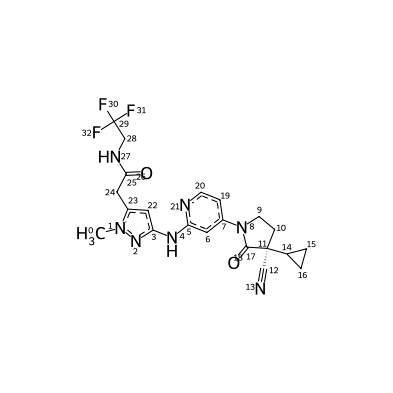 Cn1nc(Nc2cc(N3CC[C@@](C#N)(C4CC4)C3=O)ccn2)cc1CC(=O)NCC(F)(F)F